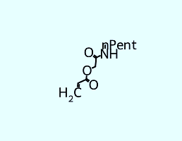 C=CC(=O)OCC(=O)NCCCCC